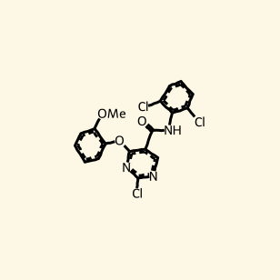 COc1ccccc1Oc1nc(Cl)ncc1C(=O)Nc1c(Cl)cccc1Cl